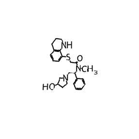 CN(C(=O)CSc1cccc2c1NCCC2)[C@H](CN1CCC(O)C1)c1ccccc1